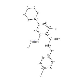 C/C=C/c1nc(N2CCOCC2)cc(C)c1C(=O)NCc1ccc(F)cc1